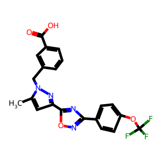 Cc1cc(-c2nc(-c3ccc(OC(F)(F)F)cc3)no2)nn1Cc1cccc(C(=O)O)c1